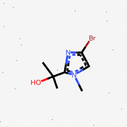 Cn1cc(Br)nc1C(C)(C)O